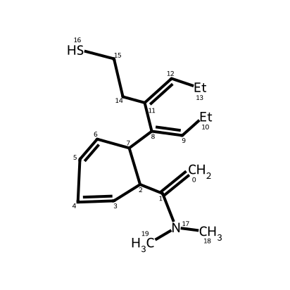 C=C(C1C=CC=CC1C(=C/CC)/C(=C\CC)CCS)N(C)C